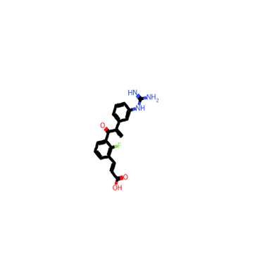 C=C(C(=O)c1cccc(C=CC(=O)O)c1F)c1cccc(NC(=N)N)c1